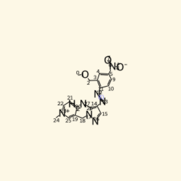 COCc1cc([N+](=O)[O-])ccc1/N=N/c1cnn(Cc2ccc[n+](C)c2)c1N